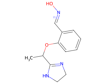 CC(Oc1ccccc1/C=N/O)C1=NCCN1